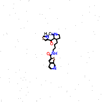 CC1NCCC(CCCCNC(=O)c2cc3ccncc3s2)C1C(=O)c1cscn1